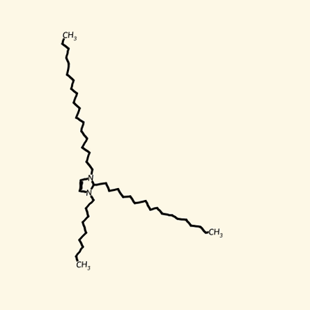 CCCCCCCCCCCCCCCCCCCN1C=CN(CCCCCCCCC)C1CCCCCCCCCCCCCCCCC